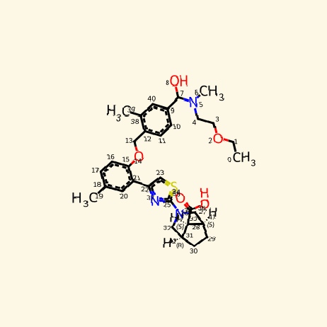 CCOCCN(C)C(O)c1ccc(COc2ccc(C)cc2-c2csc(N3C[C@H]4CC[C@@H](C3)[C@H]4C(=O)O)n2)c(C)c1